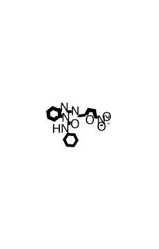 O=C(NC1CCCCC1)n1c(N=Cc2ccc([N+](=O)[O-])o2)nc2ccccc21